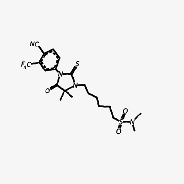 CN(C)S(=O)(=O)CCCCCCN1C(=S)N(c2ccc(C#N)c(C(F)(F)F)c2)C(=O)C1(C)C